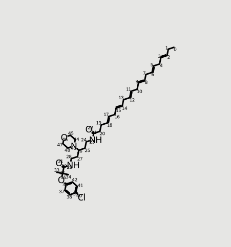 CCC=CCC=CCC=CCC=CCC=CCC=CCCC(=O)NCCC(CCNC(=O)C(C)(C)Oc1ccc(Cl)cc1)N1CCOCC1